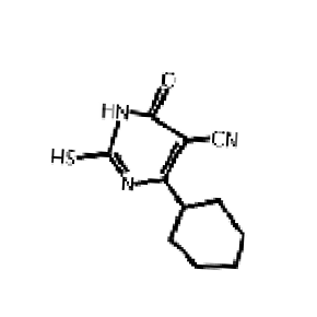 N#Cc1c(C2CCCCC2)nc(S)[nH]c1=O